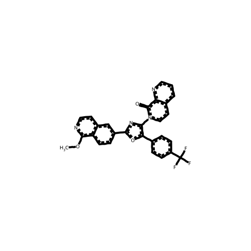 COc1nccc2cc(-c3nc(-n4ccc5cccnc5c4=O)c(-c4ccc(C(F)(F)F)cc4)o3)ccc12